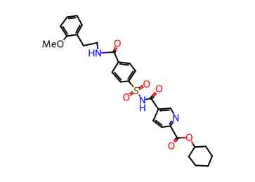 COc1ccccc1CCNC(=O)c1ccc(S(=O)(=O)NC(=O)c2ccc(C(=O)OC3CCCCC3)nc2)cc1